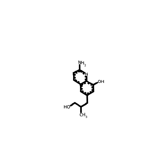 CC(CO)Cc1cc(O)c2nc(N)ccc2c1